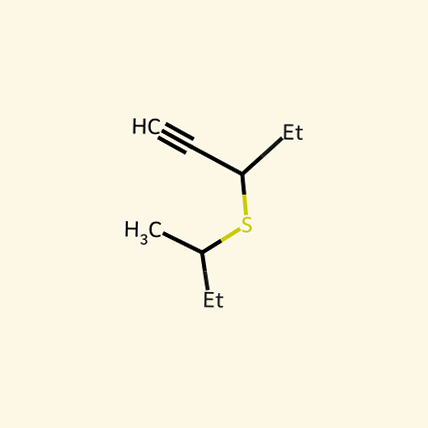 C#CC(CC)SC(C)CC